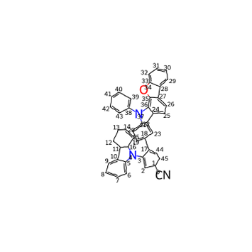 N#CC1C=C(N2c3ccccc3C3CCC=CC32)C(c2ccc3c(c2)c2ccc4c5ccccc5oc4c2n3-c2ccccc2)=CC1